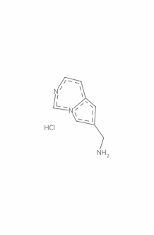 Cl.NCc1cc2ccncn2c1